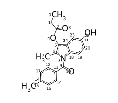 CCC(=O)Oc1c(C)n(C(=O)c2ccc(C)cc2)c2ccc(O)cc12